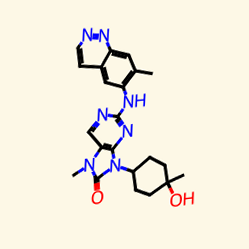 Cc1cc2nnccc2cc1Nc1ncc2c(n1)n(C1CCC(C)(O)CC1)c(=O)n2C